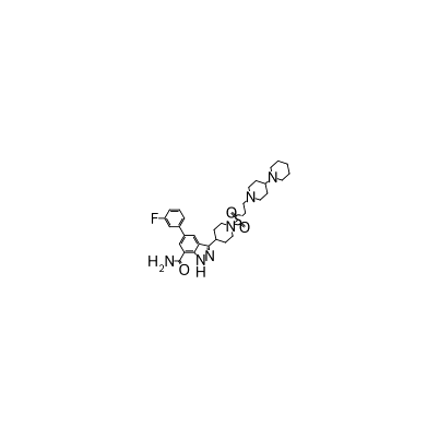 NC(=O)c1cc(-c2cccc(F)c2)cc2c(C3CCN(S(=O)(=O)CCN4CCC(N5CCCCC5)CC4)CC3)n[nH]c12